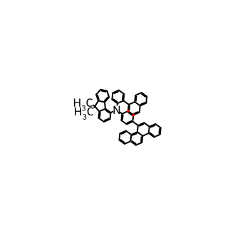 CC1(C)c2ccccc2-c2c(N(c3ccc(-c4cc5ccccc5c5ccc6ccccc6c45)cc3)c3ccccc3-c3cccc4ccccc34)cccc21